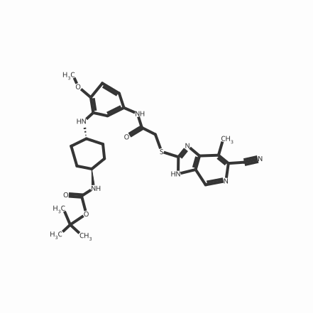 COc1ccc(NC(=O)CSc2nc3c(C)c(C#N)ncc3[nH]2)cc1N[C@H]1CC[C@H](NC(=O)OC(C)(C)C)CC1